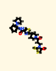 O=C(Nc1ccccc1N1CCCCC1)c1csc(C2CCN(C(=O)CCN3C(=O)CSC3=S)CC2)n1